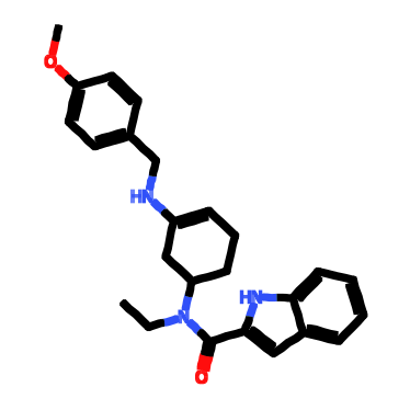 CCN(C(=O)c1cc2ccccc2[nH]1)C1CCC=C(NCc2ccc(OC)cc2)C1